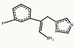 BC=C(Cn1cncn1)c1cccc(F)c1